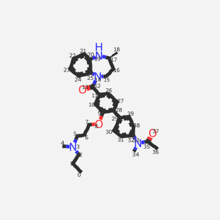 CCCN(C)CCCOc1cc(C(=O)N2CC[C@H](C)Nc3ccccc32)ccc1-c1ccc(N(C)C(C)=O)cc1